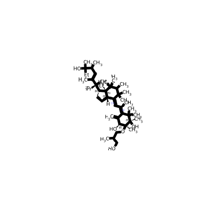 C=C1/C(=C(C)\C=C2\[C@@H]3CC[C@H]([C@](C)(C(C)C)C(C)CC(C)C(C)(O)CC)[C@@]3(CC)C(C)(C)C(C)C2(C)C)C(C)(C)[C@@](C)(O)[C@@](C)(OCC(C)CO)[C@@H]1O